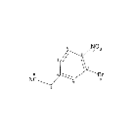 N#CCc1ccc([N+](=O)[O-])c(Br)c1